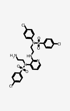 NCCN(c1cccnc1NCCN(c1ccc(Cl)cc1)S(=O)(=O)c1ccc(Cl)cc1)S(=O)(=O)c1ccc(Cl)cc1